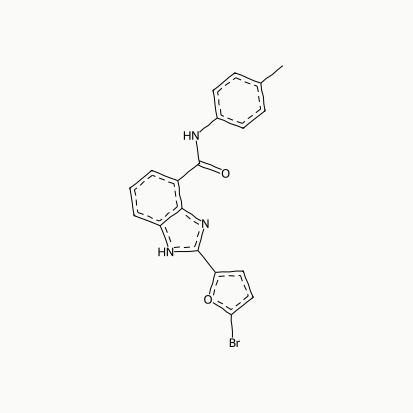 Cc1ccc(NC(=O)c2cccc3[nH]c(-c4ccc(Br)o4)nc23)cc1